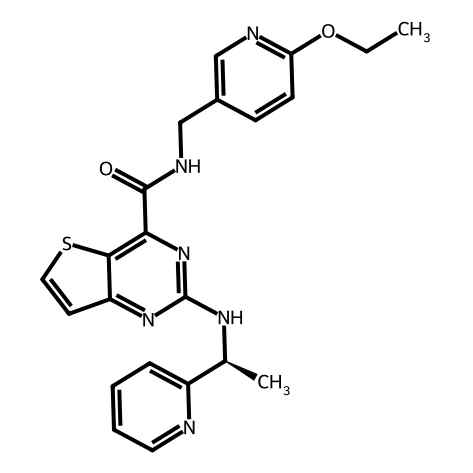 CCOc1ccc(CNC(=O)c2nc(N[C@@H](C)c3ccccn3)nc3ccsc23)cn1